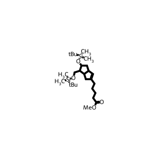 COC(=O)CCCCC1=CC2CC(O[Si](C)(C)C(C)(C)C)C(CO[Si](C)(C)C(C)(C)C)C2C1